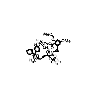 COCOc1cc(OC)cc(C2CC2C[C@@H]2OC(C)(C)O[C@@H]2C(O)C#CCC(C)O[Si](c2ccccc2)(c2ccccc2)C(C)(C)C)c1C(=O)OCC[Si](C)(C)C